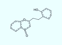 O=c1cc(CCc2ccccc2O)oc2ccccc12